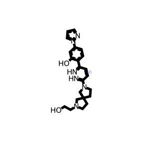 N=C(/C=C\C(=N)N1CCC2(CCN(CCO)C2)C1)c1ccc(-n2cccn2)cc1O